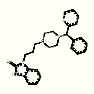 O=c1[nH]c2ccccc2n1CCCN1CCN(C(c2ccccc2)c2ccccn2)CC1